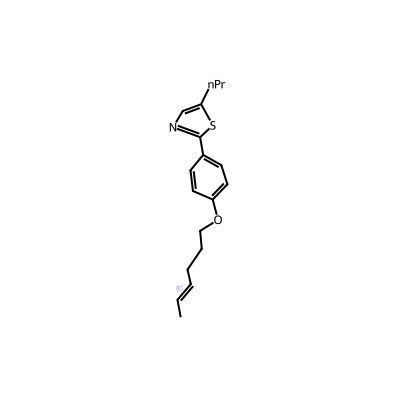 C/C=C/CCCOc1ccc(-c2ncc(CCC)s2)cc1